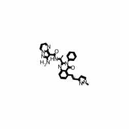 C[C@H](NC(=O)c1c(N)nn2cccnc12)c1nc2cccc(/C=C/c3ccn(C)n3)c2c(=O)n1-c1ccccc1